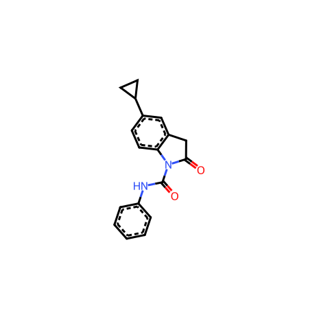 O=C1Cc2cc(C3CC3)ccc2N1C(=O)Nc1ccccc1